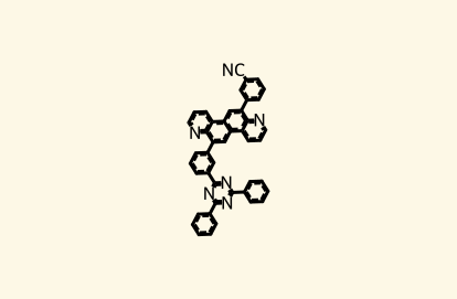 N#Cc1cccc(-c2cc3c4cccnc4c(-c4cccc(-c5nc(-c6ccccc6)nc(-c6ccccc6)n5)c4)cc3c3cccnc23)c1